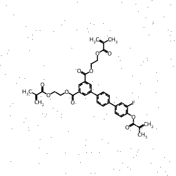 C=C(C)C(=O)OCCOC(=O)c1cc(C(=O)OCCOC(=O)C(=C)C)cc(-c2ccc(-c3ccc(OC(=O)C(=C)C)c(F)c3)cc2)c1